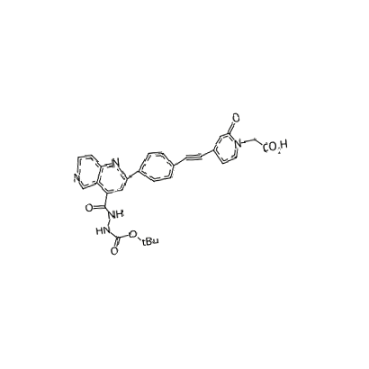 CC(C)(C)OC(=O)NNC(=O)c1cc(-c2ccc(C#Cc3ccn(CC(=O)O)c(=O)c3)cc2)nc2ccncc12